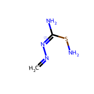 C=N/N=C(/N)SN